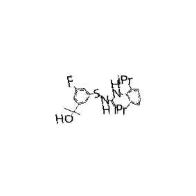 C=C(NSc1cc(F)cc(C(C)(C)O)c1)Nc1c(C(C)C)cccc1C(C)C